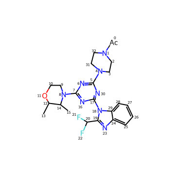 CC(=O)N1CCN(c2nc(N3CCOC(C)C3C)nc(-n3c(C(F)F)nc4ccccc43)n2)CC1